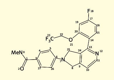 CNC(=O)c1ccc(N2Cc3ccnc(-c4ccc(F)cc4OCC(F)(F)F)c3C2)cc1